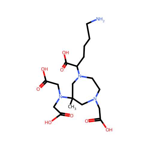 CC1(N(CC(=O)O)CC(=O)O)CN(CC(=O)O)CCN(C(CCCCN)C(=O)O)C1